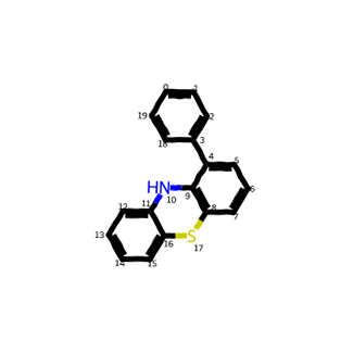 c1ccc(-c2cccc3c2Nc2ccccc2S3)cc1